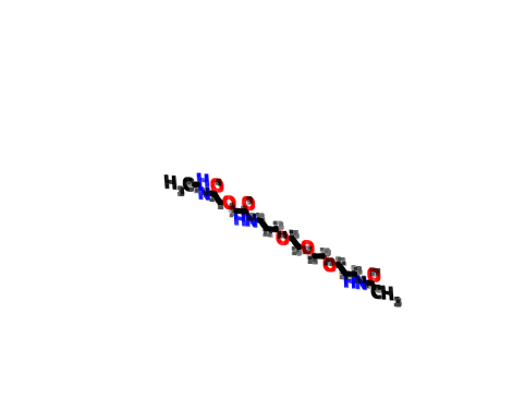 CCNC(=O)COCC(=O)NCCCOCCOCCOCCCNC(C)=O